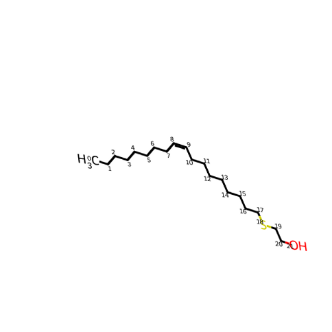 CCCCCCCC/C=C\CCCCCCCCSCCO